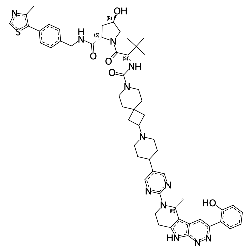 Cc1ncsc1-c1ccc(CNC(=O)[C@@H]2C[C@@H](O)CN2C(=O)[C@@H](NC(=O)N2CCC3(CC2)CC(N2CCC(c4cnc(N5CCc6[nH]c7nnc(-c8ccccc8O)cc7c6[C@H]5C)nc4)CC2)C3)C(C)(C)C)cc1